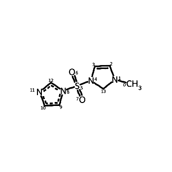 CN1C=CN(S(=O)(=O)n2ccnc2)C1